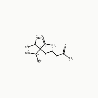 CCCCC(CCC)C(CCCC(N)=O)(C(N)=O)C(CCC)CCCC